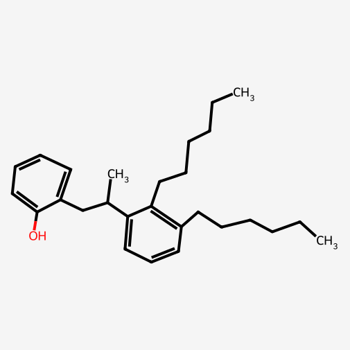 CCCCCCc1cccc(C(C)Cc2ccccc2O)c1CCCCCC